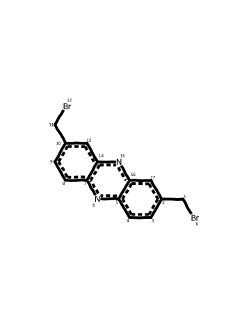 BrCc1ccc2nc3ccc(CBr)cc3nc2c1